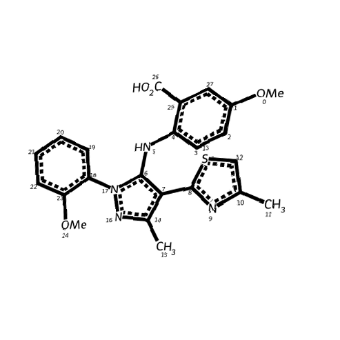 COc1ccc(Nc2c(-c3nc(C)cs3)c(C)nn2-c2ccccc2OC)c(C(=O)O)c1